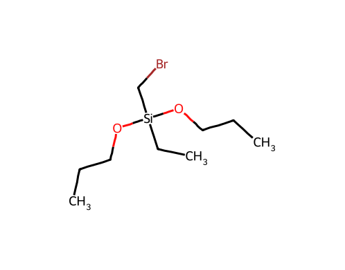 CCCO[Si](CC)(CBr)OCCC